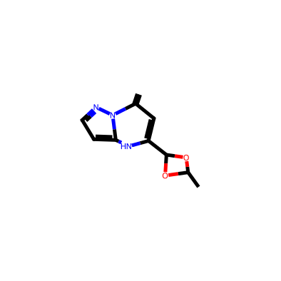 C=C1C=C(C2OC(C)O2)Nc2ccnn21